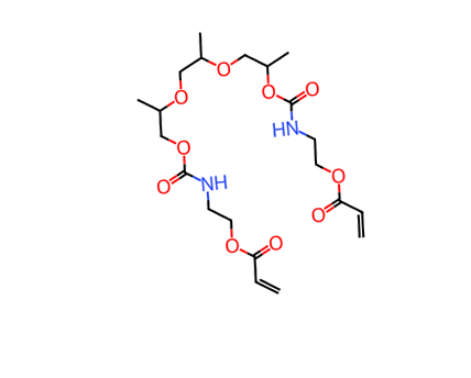 C=CC(=O)OCCNC(=O)OCC(C)OCC(C)OCC(C)OC(=O)NCCOC(=O)C=C